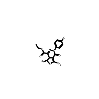 CCOC(=O)C1=NN(c2ccc(Cl)cc2)C(=O)C2=C(N)SC(Br)C12